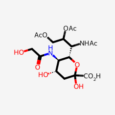 CC(=O)NC(C(COC(C)=O)OC(C)=O)[C@@H]1OC(O)(C(=O)O)C[C@H](O)[C@H]1NC(=O)CO